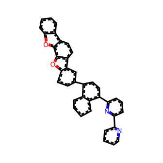 c1ccc(-c2cccc(-c3ccc(-c4ccc5oc6c(ccc7c8ccccc8oc76)c5c4)c4ccccc34)n2)nc1